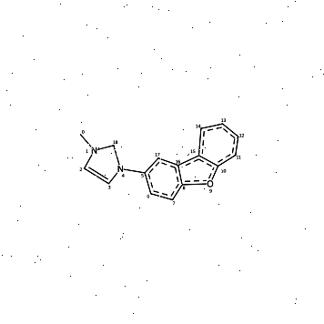 CN1C=CN(c2ccc3oc4ccccc4c3c2)C1